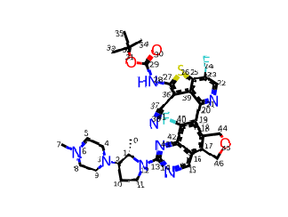 C[C@H]1[C@H](N2CCN(C)CC2)CCN1c1ncc2c3c(c(-c4ncc(F)c5sc(NC(=O)OC(C)(C)C)c(C#N)c45)c(F)c2n1)COC3